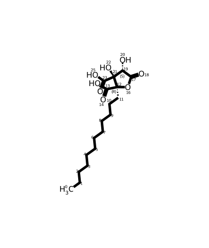 CCCCCCCCCCCC[C@@]1(C(=O)O)OC(=O)[C@@H](O)[C@@]1(O)C(=O)O